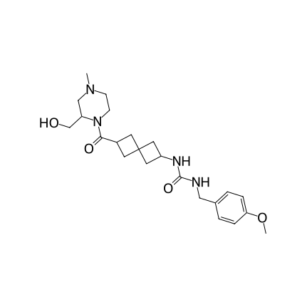 COc1ccc(CNC(=O)NC2CC3(C2)CC(C(=O)N2CCN(C)CC2CO)C3)cc1